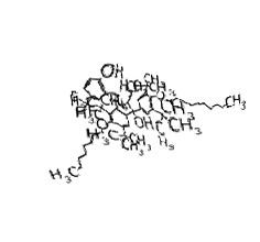 CCCCCCCCOc1c(C(C)(C)C)cc(C(O)(c2cc(C(C)(C)C)c(OCCCCCCCC)c(C(C)(C)C)c2)C(CC)N=Cc2cc(C(F)(F)F)ccc2O)cc1C(C)(C)C